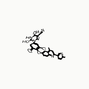 Cc1ccc(-c2cc(C)c3cc(Oc4c(Cl)cc(N5N=C(C#N)C(O)NC5O)cc4Cl)ccc3n2)cn1